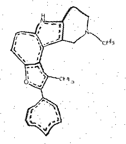 Cc1c(-c2ccccc2)oc2ccc3[nH]c4c(c3c12)CN(C)CC4